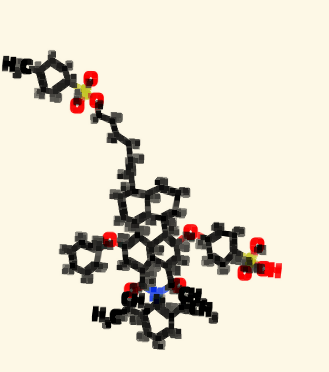 Cc1ccc(S(=O)(=O)OCCCCC#Cc2ccc3c4c(Oc5ccccc5)cc5c6c(cc(Oc7ccc(S(=O)(=O)O)cc7)c(c7cccc2c73)c64)C(=O)N(c2c(C(C)C)cccc2C(C)C)C5=O)cc1